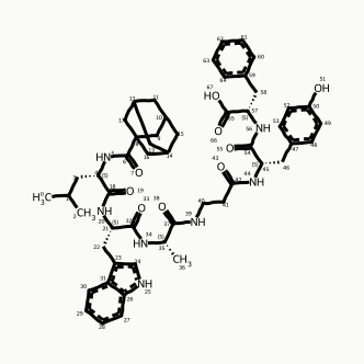 CC(C)C[C@H](NC(=O)C12CC3CC(CC(C3)C1)C2)C(=O)N[C@@H](Cc1c[nH]c2ccccc12)C(=O)N[C@@H](C)C(=O)NCCC(=O)N[C@@H](Cc1ccc(O)cc1)C(=O)N[C@@H](Cc1ccccc1)C(=O)O